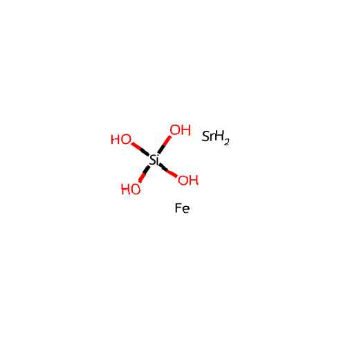 O[Si](O)(O)O.[Fe].[SrH2]